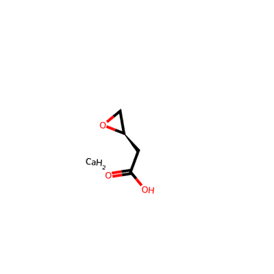 O=C(O)C[C@@H]1CO1.[CaH2]